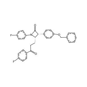 O=C(CC[C@H]1[C@@H](c2ccc(OCc3ccccc3)cc2)C(=O)N1c1ccc(F)cc1)c1ccc(F)cc1